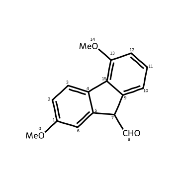 COc1ccc2c(c1)C(C=O)c1cccc(OC)c1-2